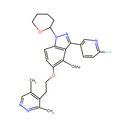 COc1c(OCCc2c(C)cnnc2C)ccc2c1c(-c1ccc(F)nc1)nn2C1CCCCO1